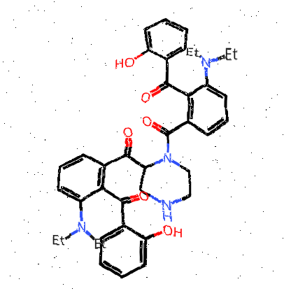 CCN(CC)c1cccc(C(=O)C2CNCCN2C(=O)c2cccc(N(CC)CC)c2C(=O)c2ccccc2O)c1C(=O)c1ccccc1O